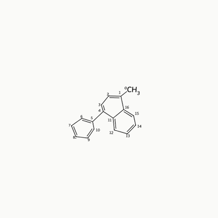 Cc1ccc(-c2cc[c]cc2)c2ccccc12